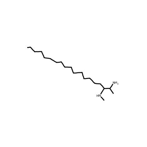 CCCCCCCCCCCCCCCCC(NC)C(C)N